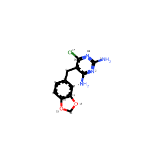 Nc1nc(N)c(Cc2ccc3c(c2)OCO3)c(Cl)n1